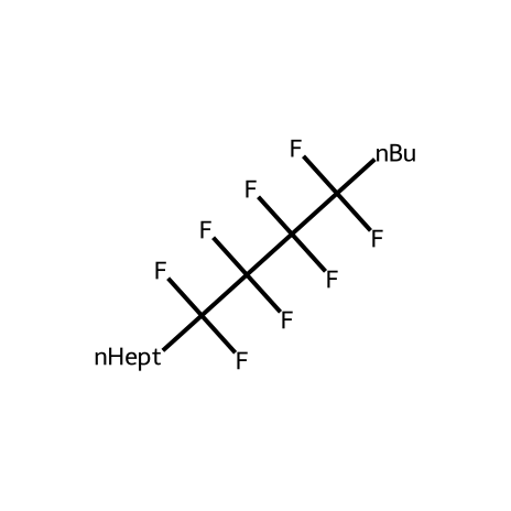 CCCCCCCC(F)(F)C(F)(F)C(F)(F)C(F)(F)CCCC